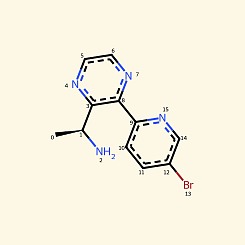 C[C@H](N)c1nccnc1-c1ccc(Br)cn1